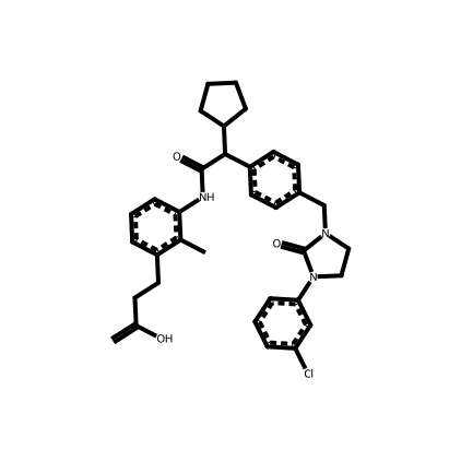 C=C(O)CCc1cccc(NC(=O)C(c2ccc(CN3CCN(c4cccc(Cl)c4)C3=O)cc2)C2CCCC2)c1C